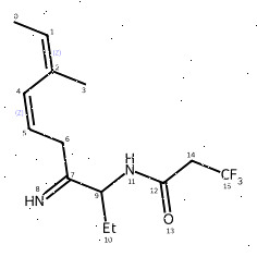 C/C=C(C)\C=C/CC(=N)C(CC)NC(=O)CC(F)(F)F